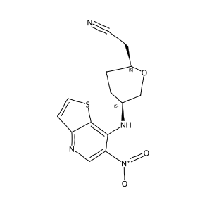 N#CC[C@@H]1CC[C@H](Nc2c([N+](=O)[O-])cnc3ccsc23)CO1